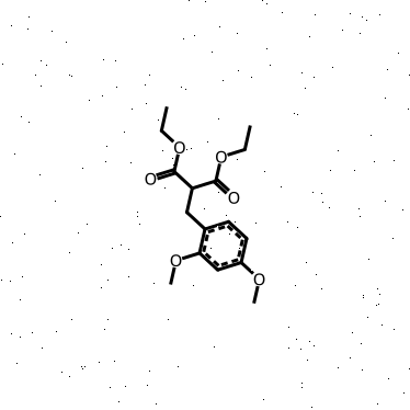 CCOC(=O)C(Cc1ccc(OC)cc1OC)C(=O)OCC